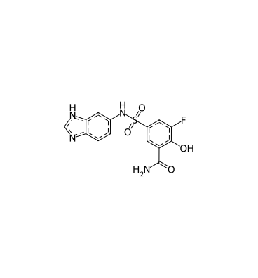 NC(=O)c1cc(S(=O)(=O)Nc2ccc3nc[nH]c3c2)cc(F)c1O